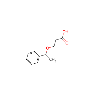 CC(OCCC(=O)O)c1ccccc1